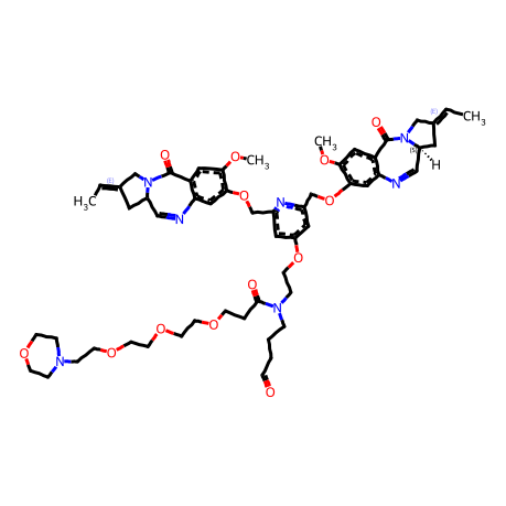 C/C=C1\CC2C=Nc3cc(OCc4cc(OCCN(CCCC=O)C(=O)CCOCCOCCOCCN5CCOCC5)cc(COc5cc6c(cc5OC)C(=O)N5C/C(=C/C)C[C@H]5C=N6)n4)c(OC)cc3C(=O)N2C1